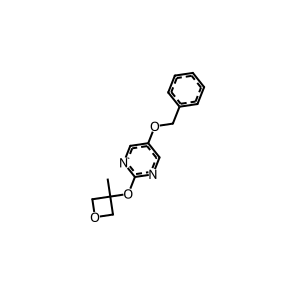 CC1(Oc2ncc(OCc3ccccc3)cn2)COC1